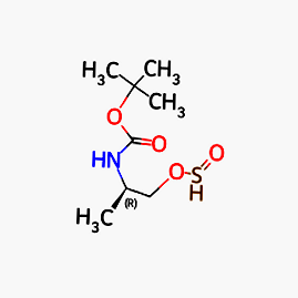 C[C@H](CO[SH]=O)NC(=O)OC(C)(C)C